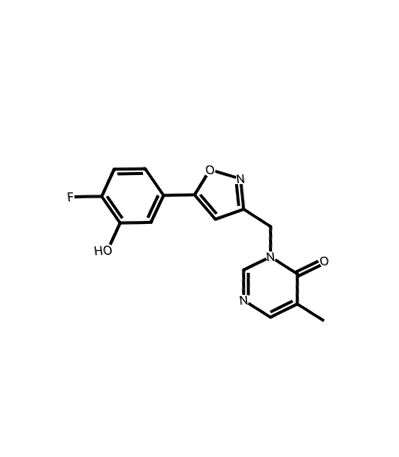 Cc1cncn(Cc2cc(-c3ccc(F)c(O)c3)on2)c1=O